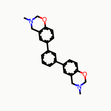 CN1COc2ccc(-c3cccc(-c4ccc5c(c4)CN(C)CO5)c3)cc2C1